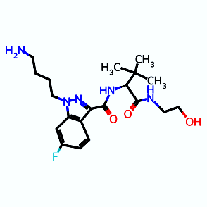 CC(C)(C)[C@H](NC(=O)c1nn(CCCCN)c2cc(F)ccc12)C(=O)NCCO